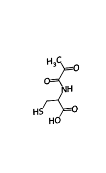 CC(=O)C(=O)NC(CS)C(=O)O